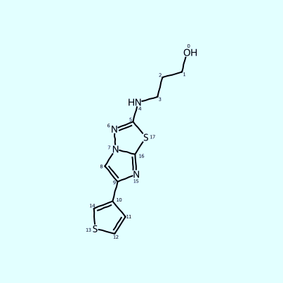 OCCCNc1nn2cc(-c3ccsc3)nc2s1